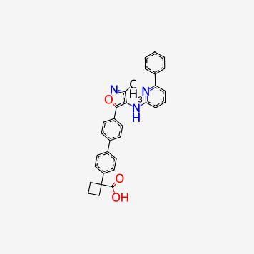 Cc1noc(-c2ccc(-c3ccc(C4(C(=O)O)CCC4)cc3)cc2)c1Nc1cccc(-c2ccccc2)n1